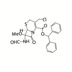 COC1(NC=O)C(=O)N2C(C(=O)OC(c3ccccc3)c3ccccc3)=C(CCl)CS[C@@H]21